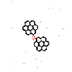 c1cc2ccc3ccc4c(Oc5cc6ccc7ccc8ccc9ccc%10ccc5c5c%10c9c8c7c65)cc5ccc6ccc1c1c2c3c4c5c61